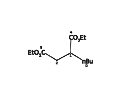 CCCCC(CC(=O)OCC)C(=O)OCC